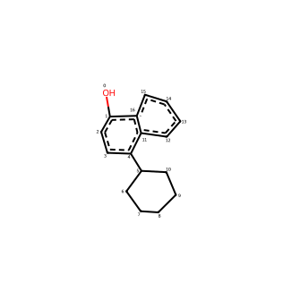 Oc1ccc(C2CCCCC2)c2ccccc12